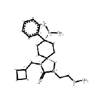 COCCN1C[C@]2(CC[C@@](c3ccccc3)(N(C)C)CC2)N(CC2CCC2)C1=O